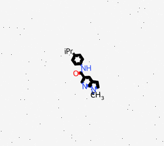 CC(C)c1ccc(NC(=O)c2cnc3c(ccn3C)c2)cc1